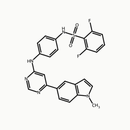 Cn1ccc2cc(-c3cc(Nc4ccc(NS(=O)(=O)c5c(F)cccc5F)cc4)ncn3)ccc21